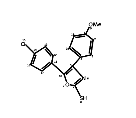 COc1ccc(-c2nc(S)oc2-c2ccc(Cl)cc2)cc1